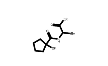 CC(C)(C)C(=O)C(NC(=O)C1(O)CCCC1)C(C)(C)C